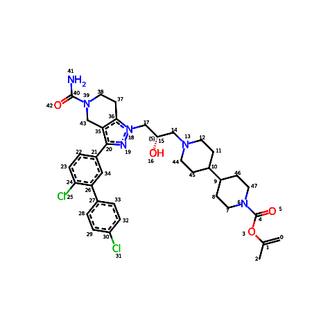 C=C(C)OC(=O)N1CCC(C2CCN(C[C@H](O)Cn3nc(-c4ccc(Cl)c(-c5ccc(Cl)cc5)c4)c4c3CCN(C(N)=O)C4)CC2)CC1